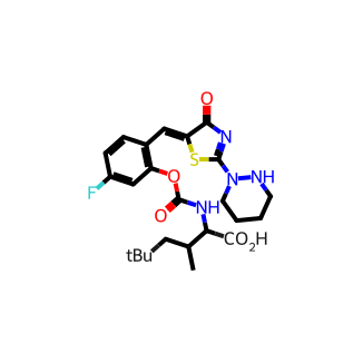 CC(CC(C)(C)C)C(NC(=O)Oc1cc(F)ccc1/C=C1\SC(N2CCCCN2)=NC1=O)C(=O)O